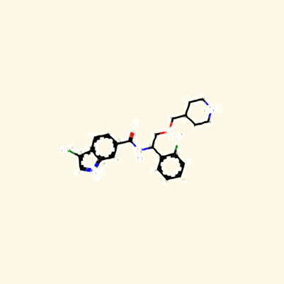 O=C(NC(COCC1CCNCC1)c1ccccc1F)c1ccc2c(Cl)c[nH]c2c1